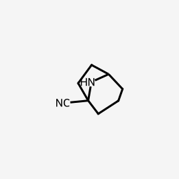 N#CC12CCCC(CC1)N2